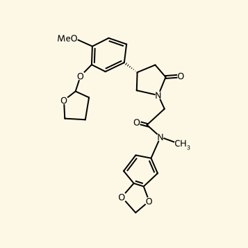 COc1ccc([C@@H]2CC(=O)N(CC(=O)N(C)c3ccc4c(c3)OCO4)C2)cc1OC1CCCO1